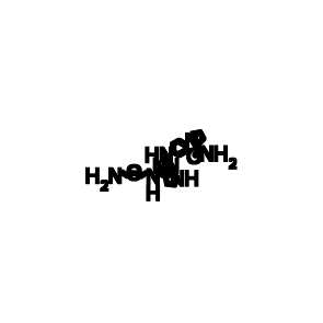 NCCOCCNc1nc(Nc2ccc(N3CCC[C@H]3C(N)=O)cc2)nc2[nH]ccc12